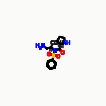 NC[C@@H](C(=O)O)N(C(=O)[C@@H]1CCCN1)S(=O)(=O)c1ccccc1